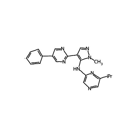 CC(C)c1cncc(Nc2c(-c3ncc(-c4cc[c]cc4)cn3)cnn2C)n1